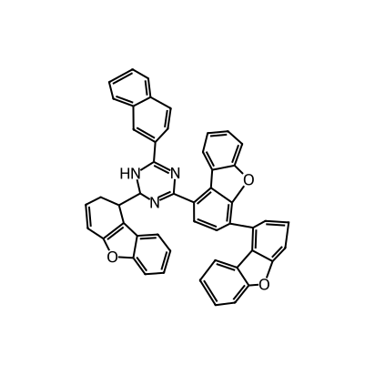 C1=Cc2oc3ccccc3c2C(C2N=C(c3ccc(-c4cccc5oc6ccccc6c45)c4oc5ccccc5c34)N=C(c3ccc4ccccc4c3)N2)C1